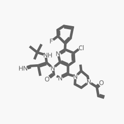 C=CC(=O)N1CCN(/C(=N/C)c2cc(Cl)c(-c3ccccc3F)nc2N(C=O)/C(NC(C)(C)C)=C(\C)C=N)C(C)C1